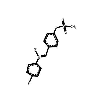 CS(=O)(=O)Oc1ccc(C=[N+]([O-])c2ccc(F)cc2)cc1